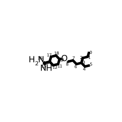 CCCC(CC)CCCOC1CCC(C(=N)N)CC1